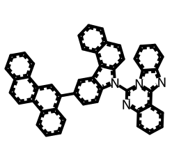 c1ccc2c(c1)ccc1c3ccccc3c(-c3ccc4c(c3)c3c5ccccc5ccc3n4-c3nc4ccccc4c4nc5ccccc5n34)cc21